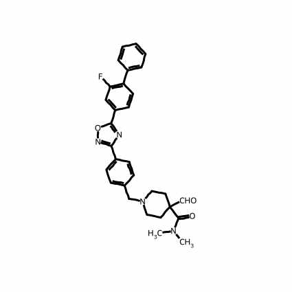 CN(C)C(=O)C1(C=O)CCN(Cc2ccc(-c3noc(-c4ccc(-c5ccccc5)c(F)c4)n3)cc2)CC1